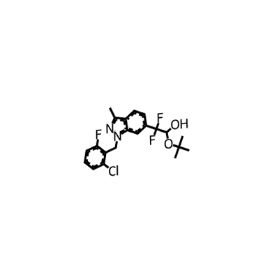 Cc1nn(Cc2c(F)cccc2Cl)c2cc(C(F)(F)C(O)OC(C)(C)C)ccc12